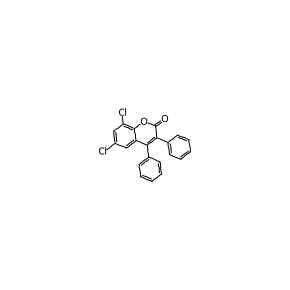 O=c1oc2c(Cl)cc(Cl)cc2c(-c2ccccc2)c1-c1ccccc1